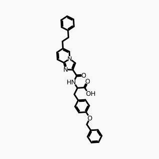 O=C(NC(Cc1ccc(OCc2ccccc2)cc1)C(=O)O)c1cn2cc(CCc3ccccc3)ccc2n1